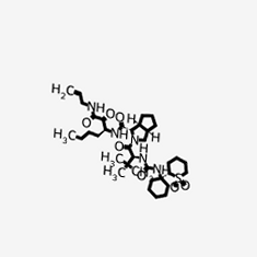 C=CCNC(=O)C(=O)[C@H](CCCC)NC(=O)[C@@H]1[C@H]2CCC[C@H]2CN1C(=O)[C@@H](NC(=O)NC1([C@@H]2CCCCS2(=O)=O)CCCCC1)C(C)(C)C